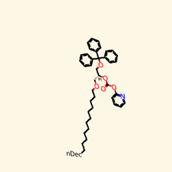 CCCCCCCCCCCCCCCCCCCCCCOC[C@H](COC(c1ccccc1)(c1ccccc1)c1ccccc1)OC(=O)Oc1ccccn1